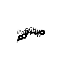 CC(C)C1c2ccc(F)cc2CCC1(O)CC(=O)N(C)CCCc1nc2ccccc2[nH]1